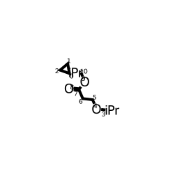 C1CC1.CC(C)OCCC(=O)OC(C)C